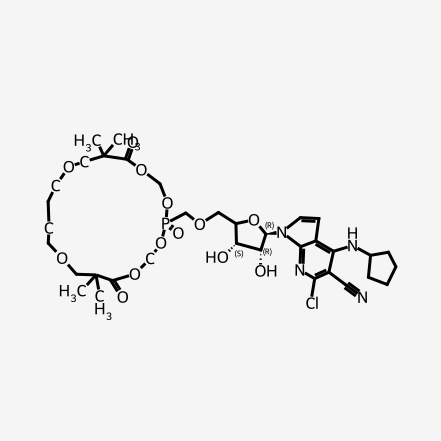 CC1(C)COCCCCOCC(C)(C)C(=O)OCOP(=O)(COCC2O[C@@H](n3ccc4c(NC5CCCC5)c(C#N)c(Cl)nc43)[C@H](O)[C@@H]2O)OCOC1=O